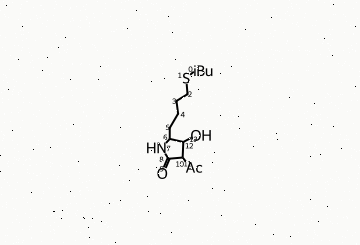 CCC(C)SCCCCC1NC(=O)C(C(C)=O)C1O